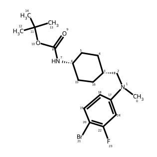 CN(C[C@H]1CC[C@@H](NC(=O)OC(C)(C)C)CC1)c1ccc(Br)c(F)c1